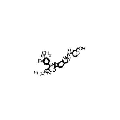 COc1ccc([C@H](NC(=O)c2ccc3cnc(NC4CCOC(CO)C4)nc3c2)c2cnn(C)c2)cc1F